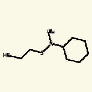 CC(C)(C)N(SCCS)C1CCCCC1